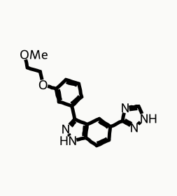 COCCOc1cccc(-c2n[nH]c3ccc(-c4nc[nH]n4)cc23)c1